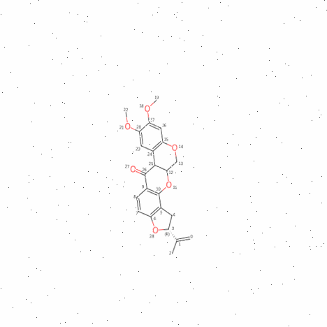 C=C(C)[C@H]1Cc2c(ccc3c2OC2COc4cc(OC)c(OC)cc4C2C3=O)O1